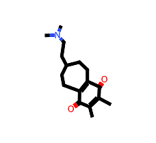 CC1=C(C)C(=O)C2=C(CCC(CCN(C)C)CC2)C1=O